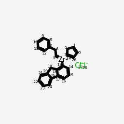 C1=CC[C]([Zr+2](=[CH]Cc2ccccc2)[c]2cccc3c2Cc2ccccc2-3)=C1.[Cl-].[Cl-]